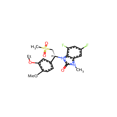 CCOc1cc([C@H](CS(C)(=O)=O)n2c(=O)n(C)c3cc(F)cc(F)c32)ccc1OC